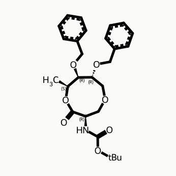 C[C@@H]1OC(=O)[C@H](NC(=O)OC(C)(C)C)COC[C@@H](OCc2ccccc2)[C@@H]1OCc1ccccc1